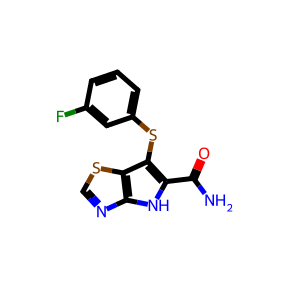 NC(=O)c1[nH]c2ncsc2c1Sc1cccc(F)c1